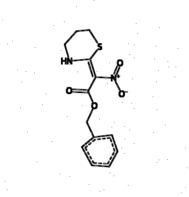 O=C(OCc1ccccc1)/C(=C1\NCCCS1)[N+](=O)[O-]